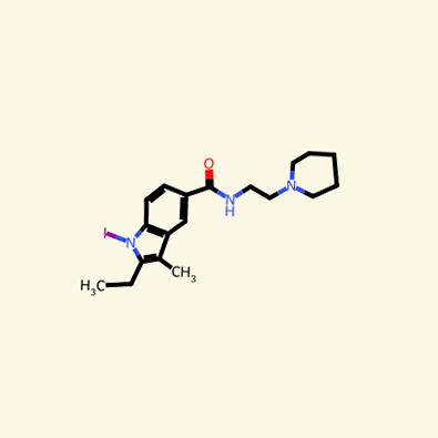 CCc1c(C)c2cc(C(=O)NCCN3CCCCC3)ccc2n1I